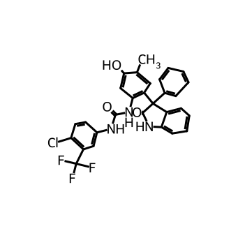 Cc1cc(C2(c3ccccc3)C(=O)Nc3ccccc32)c(NC(=O)Nc2ccc(Cl)c(C(F)(F)F)c2)cc1O